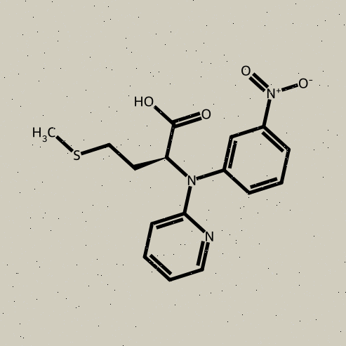 CSCC[C@@H](C(=O)O)N(c1cccc([N+](=O)[O-])c1)c1ccccn1